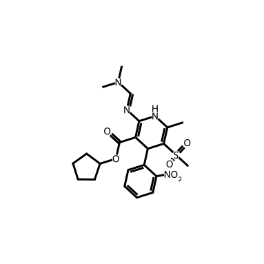 CC1=C(S(C)(=O)=O)C(c2ccccc2[N+](=O)[O-])C(C(=O)OC2CCCC2)=C(N=CN(C)C)N1